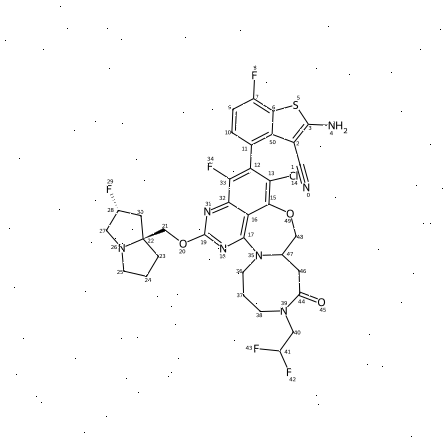 N#Cc1c(N)sc2c(F)ccc(-c3c(Cl)c4c5c(nc(OC[C@@]67CCCN6C[C@H](F)C7)nc5c3F)N3CCCN(CC(F)F)C(=O)CC3CO4)c12